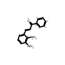 Nc1cccc(/C=C/C(=O)c2ccccc2)c1N